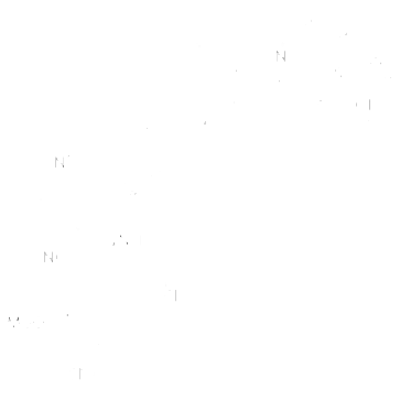 COc1cc(Nc2c(C#N)cnc3cc(-c4ccc(CN5CCS(O)(O)CC5)cc4)sc23)c(Cl)cc1Cl